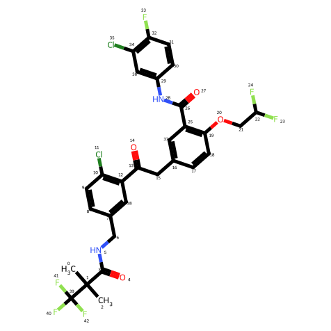 CC(C)(C(=O)NCc1ccc(Cl)c(C(=O)Cc2ccc(OCC(F)F)c(C(=O)Nc3ccc(F)c(Cl)c3)c2)c1)C(F)(F)F